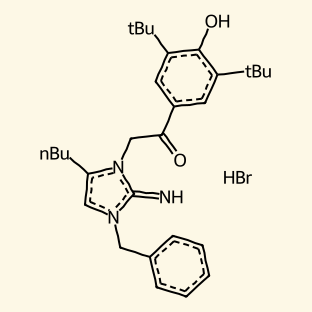 Br.CCCCc1cn(Cc2ccccc2)c(=N)n1CC(=O)c1cc(C(C)(C)C)c(O)c(C(C)(C)C)c1